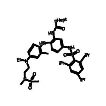 CCCCCCCC(=O)Nc1cc(NS(=O)(=O)c2c(C(C)C)cc(C(C)C)cc2C(C)C)ccc1Nc1ccc(N(CC)CCN(C)S(C)(=O)=O)cc1C